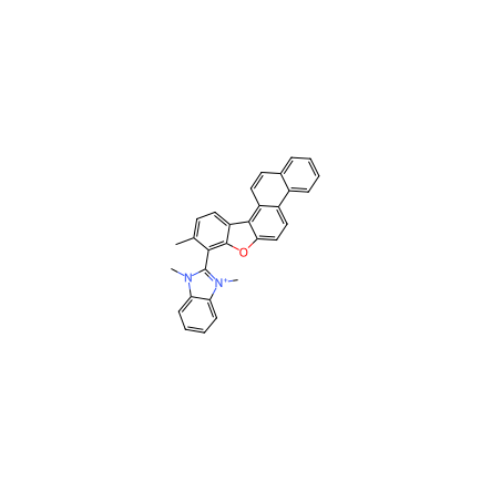 Cc1ccc2c(oc3ccc4c5ccccc5ccc4c32)c1-c1n(C)c2ccccc2[n+]1C